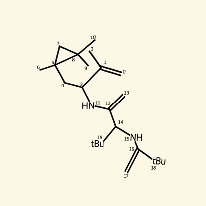 C=C(C)C(CC1(C)CC1(C)C)NC(=C)C(NC(=C)C(C)(C)C)C(C)(C)C